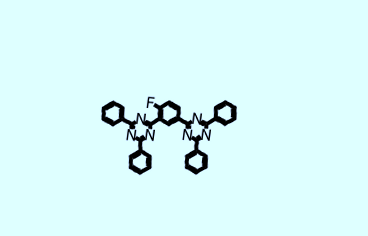 Fc1ccc(-c2nc(-c3ccccc3)nc(-c3ccccc3)n2)cc1-c1nc(-c2ccccc2)nc(-c2ccccc2)n1